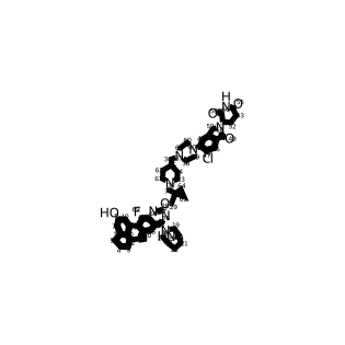 C#Cc1cccc2cc(O)cc(-c3c(Cl)cc4c(N5CC6CCC(C5)N6)nc(OCC5(CN6CCC(CN7CCN(c8cc9c(cc8Cl)C(=O)N(C8CCC(=O)NC8=O)C9)CC7)CC6)CC5)nc4c3F)c12